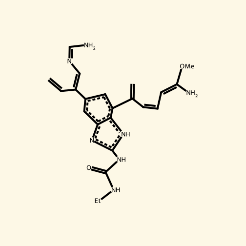 C=C/C(=C\N=C/N)c1cc(C(=C)/C=C\C=C(/N)OC)c2[nH]c(NC(=O)NCC)nc2c1